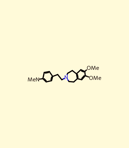 CNc1ccc(CCN2CCc3cc(OC)c(OC)cc3CC2)cc1